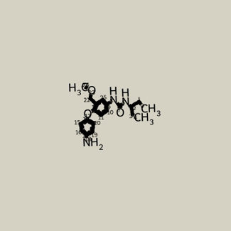 CCC(CC)NC(=O)Nc1ccc(Oc2ccc(N)cc2)c(COC)c1